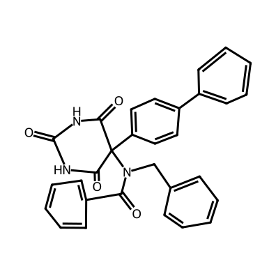 O=C1NC(=O)C(c2ccc(-c3ccccc3)cc2)(N(Cc2ccccc2)C(=O)c2ccccc2)C(=O)N1